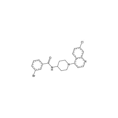 O=C(NC1CCN(c2ccnc3cc(Cl)ccc23)CC1)c1cccc(Br)c1